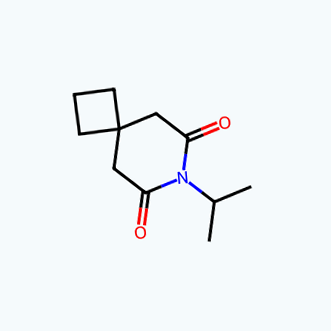 CC(C)N1C(=O)CC2(CCC2)CC1=O